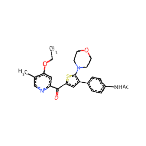 CC(=O)Nc1ccc(-c2cc(C(=O)c3cc(OCC(F)(F)F)c(C)cn3)sc2N2CCOCC2)cc1